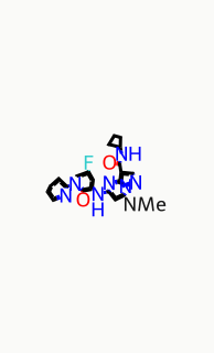 CNc1cc(Nc2cc(F)cn(-c3ccccn3)c2=O)nc2c(C(=O)NC3CCC3)cnn12